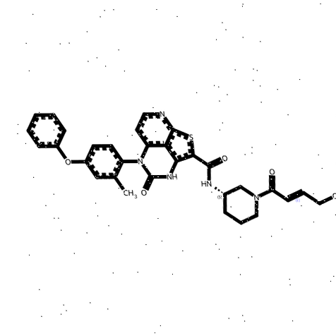 Cc1cc(Oc2ccccc2)ccc1N1C(=O)Nc2c(C(=O)N[C@H]3CCCN(C(=O)/C=C/CO)C3)sc3nccc1c23